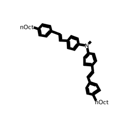 CCCCCCCCc1ccc(/C=C/c2ccc(N(C)c3ccc(/C=C/c4ccc(CCCCCCCC)cc4)cc3)cc2)cc1